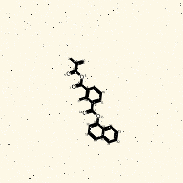 C=C(C)C(=O)OC(=O)c1cccc(C(=O)Oc2cccc3ccccc23)c1C